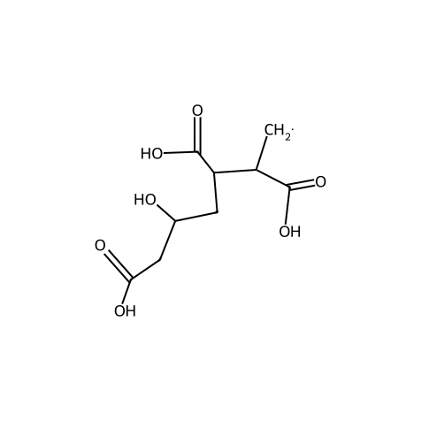 [CH2]C(C(=O)O)C(CC(O)CC(=O)O)C(=O)O